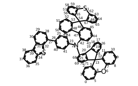 c1ccc2c(c1)Oc1ccccc1C21c2ccccc2-c2c(N(c3ccc(-c4cccc5c4sc4ccccc45)cc3)c3cccc4c3-c3ccccc3C43c4ccccc4Sc4ccccc43)cccc21